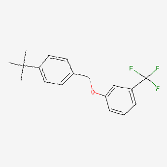 CC(C)(C)c1ccc(COc2cccc(C(F)(F)F)c2)cc1